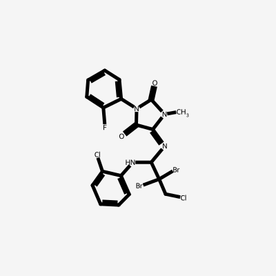 CN1C(=O)N(c2ccccc2F)C(=O)C1=NC(Nc1ccccc1Cl)C(Br)(Br)CCl